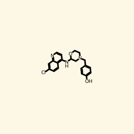 Oc1ccc(CN2CCOC(Nc3ccnc4cc(Cl)ccc34)C2)cc1